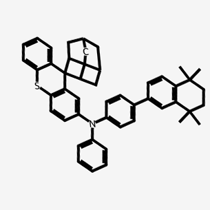 CC1(C)CCC(C)(C)c2cc(-c3ccc(N(c4ccccc4)c4ccc5c(c4)C4(c6ccccc6S5)C5CC6CC7CC4C75C6)cc3)ccc21